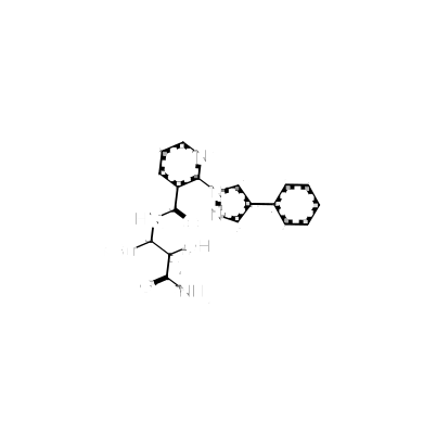 CCCCC(NC(=O)c1cccnc1-n1cc(-c2ccccc2)cn1)C(O)C(N)=O